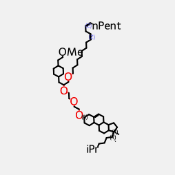 CCCCC/C=C\C/C=C\CCCCCCCCOCC(CC1CCC(CCOC)CC1)OCCOCCO[C@H]1CCC2C(=CCC3C2CCC2C3CC[C@]2(C)[C@H](C)CCCC(C)C)C1